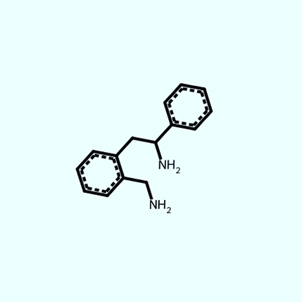 NCc1ccccc1CC(N)c1ccccc1